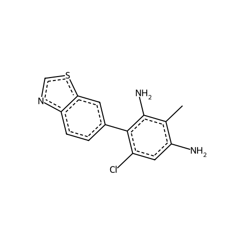 Cc1c(N)cc(Cl)c(-c2ccc3ncsc3c2)c1N